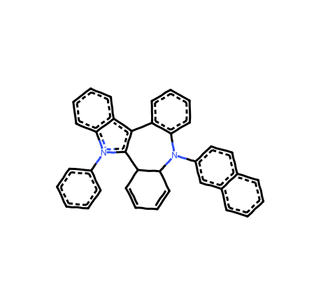 C1=CC2c3c(c4ccccc4n3-c3ccccc3)-c3ccccc3N(c3ccc4ccccc4c3)C2C=C1